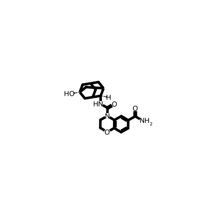 NC(=O)c1ccc2c(c1)N(C(=O)N[C@H]1C3CC4CC1C[C@](O)(C4)C3)CCO2